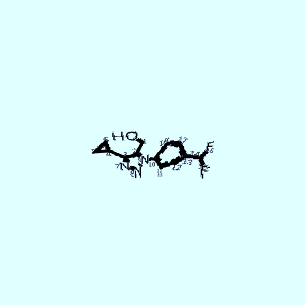 OCc1c(C2CC2)nnn1-c1ccc(C(F)F)cc1